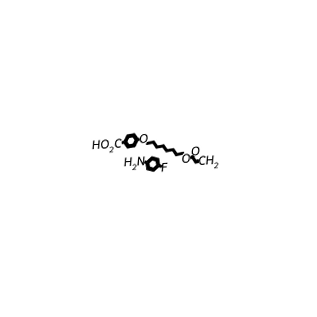 C=CC(=O)OCCCCCCCCOc1ccc(C(=O)O)cc1.Nc1ccc(F)cc1